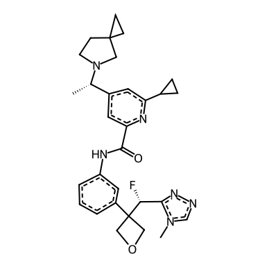 C[C@@H](c1cc(C(=O)Nc2cccc(C3([C@H](F)c4nncn4C)COC3)c2)nc(C2CC2)c1)N1CCC2(CC2)C1